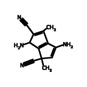 CC1=C(C#N)C(N)C2=C1C(N)=CC2(C)C#N